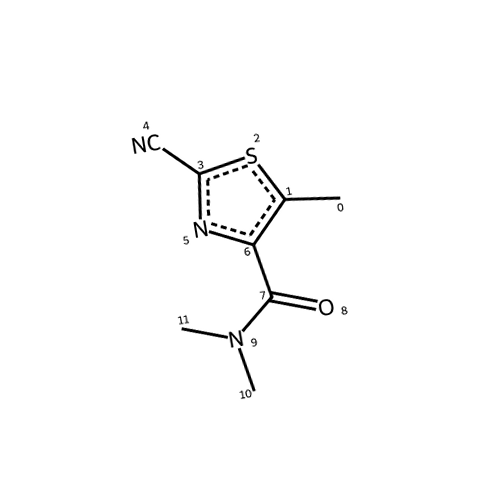 Cc1sc(C#N)nc1C(=O)N(C)C